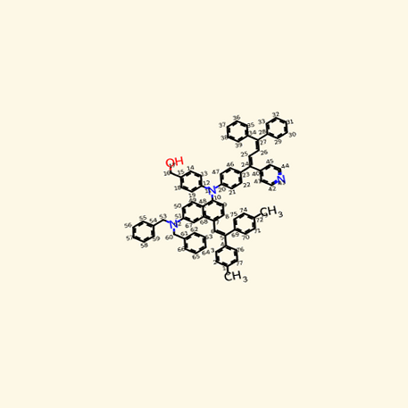 Cc1ccc(C(=Cc2ccc(N(c3ccc(CO)cc3)c3ccc(/C(=C/C=C(c4ccccc4)c4ccccc4)c4ccncc4)cc3)c3ccc(N(Cc4ccccc4)Cc4ccccc4)cc23)c2ccc(C)cc2)cc1